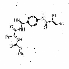 CC/C=C(\CC)C(=O)Nc1ccc(C(=N)NC(=O)[C@@H](NC(=O)OC(C)(C)C)C(C)C)cc1